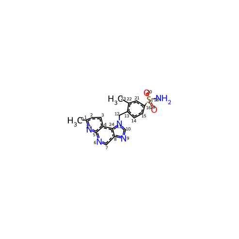 Cc1ccc2c(ncc3ncn(Cc4ccc(S(N)(=O)=O)cc4C)c32)n1